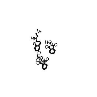 CN(C)CCNc1ccc2cc(OC[C@H](ON3C(=O)c4ccccc4C3=O)C(=O)O)ccc2n1.O=C1c2ccccc2C(=O)N1O